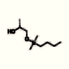 CCCC[Si](C)(C)OCC(C)O